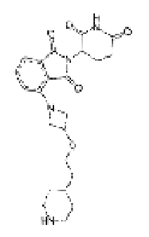 O=C1CCC(N2C(=O)c3cccc(N4CC(OCCC5CCNCC5)C4)c3C2=O)C(=O)N1